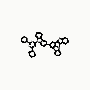 c1ccc(-c2nc(-c3ccccc3)nc(-n3c4ccccc4c4cc(-c5cc6c7ccccc7n7c6c(c5)c5sc6ccccc6c57)ccc43)n2)cc1